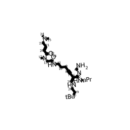 CCCNC(=N/CN)/C(C#CCCCNC(=O)CN(C)C(=O)/C=C/CN(C)C)=C\NCCC(C)(C)C